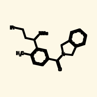 CNC(CCC(C)C)c1cc(C(=O)N2Cc3ccccc3C2)ccc1C